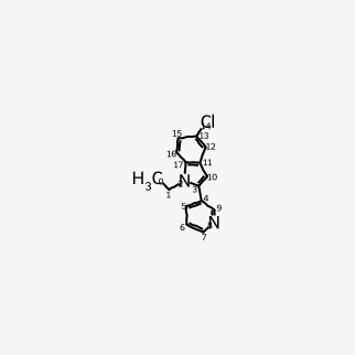 CCn1c(-c2cccnc2)cc2cc(Cl)ccc21